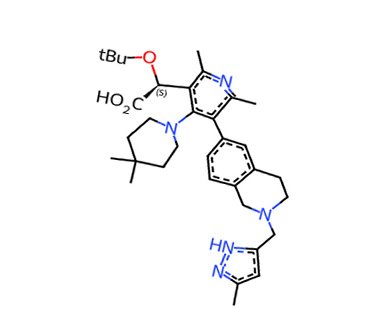 Cc1cc(CN2CCc3cc(-c4c(C)nc(C)c([C@H](OC(C)(C)C)C(=O)O)c4N4CCC(C)(C)CC4)ccc3C2)[nH]n1